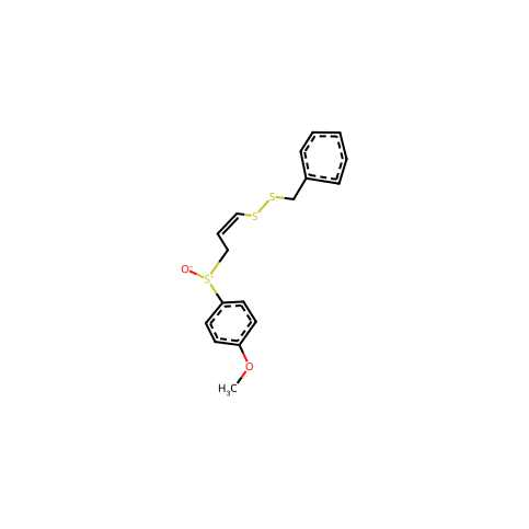 COc1ccc([S+]([O-])C/C=C\SSCc2ccccc2)cc1